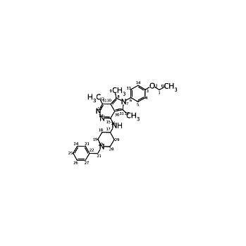 CCOc1ccc(-n2c(C)c3c(C)nnc(NC4CCN(Cc5ccccc5)CC4)c3c2C)cc1